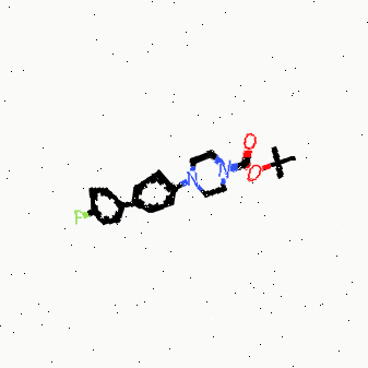 CC(C)(C)OC(=O)N1CCN(c2ccc(-c3ccc(F)cc3)cc2)CC1